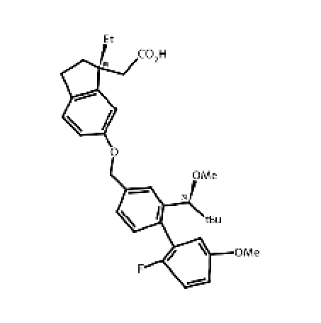 CC[C@]1(CC(=O)O)CCc2ccc(OCc3ccc(-c4cc(OC)ccc4F)c([C@@H](OC)C(C)(C)C)c3)cc21